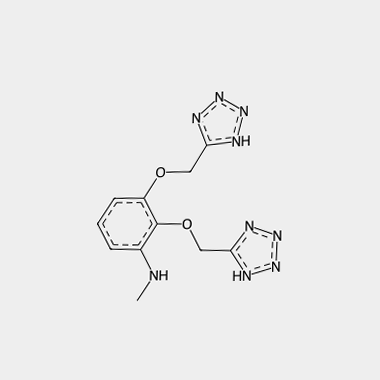 CNc1cccc(OCc2nnn[nH]2)c1OCc1nnn[nH]1